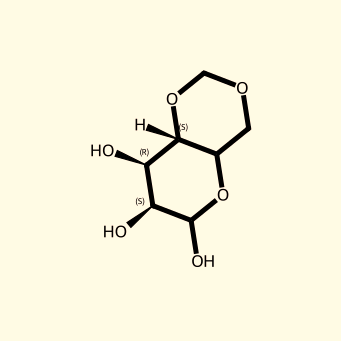 OC1OC2COCO[C@H]2[C@H](O)[C@@H]1O